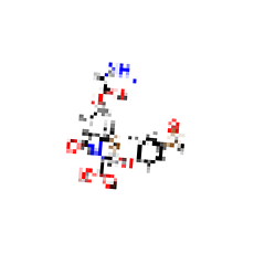 C[S+]([O-])c1ccc(OC2=C(C(=O)O)N3C(=O)[C@H](CCOC(=O)CN)[C@H]3S2)cc1